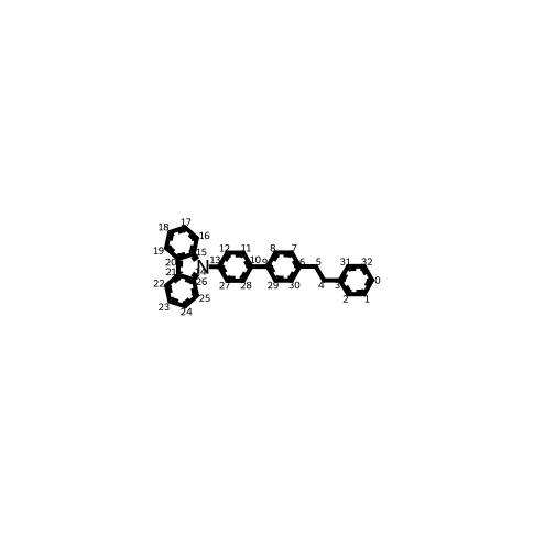 c1ccc(CCc2ccc(-c3ccc(-n4c5ccccc5c5ccccc54)cc3)cc2)cc1